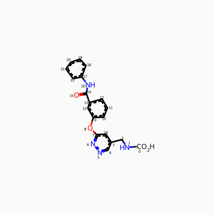 O=C(O)NCc1cnnc(Oc2cccc(C(=O)Nc3ccccc3)c2)c1